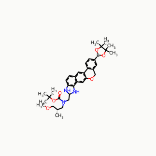 COC[C@@H](C)CN(CC1Nc2ccc3cc4c(cc3c2N1)OCc1cc(B2OC(C)(C)C(C)(C)O2)ccc1-4)C(=O)OC(C)(C)C